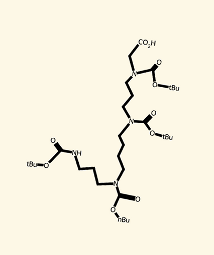 CCCCOC(=O)N(CCCCN(CCCN(CC(=O)O)C(=O)OC(C)(C)C)C(=O)OC(C)(C)C)CCCNC(=O)OC(C)(C)C